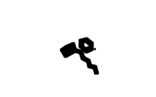 CCCCCCc1cc2ccc1-2.[c]1ccccc1